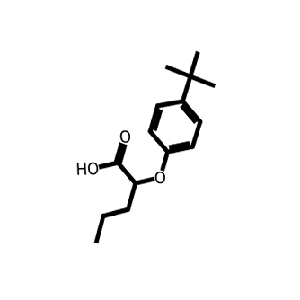 CCCC(Oc1ccc(C(C)(C)C)cc1)C(=O)O